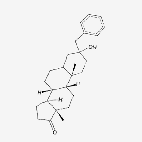 C[C@]12CCC(O)(Cc3ccccc3)CC1CC[C@@H]1[C@H]2CC[C@]2(C)C(=O)CC[C@@H]12